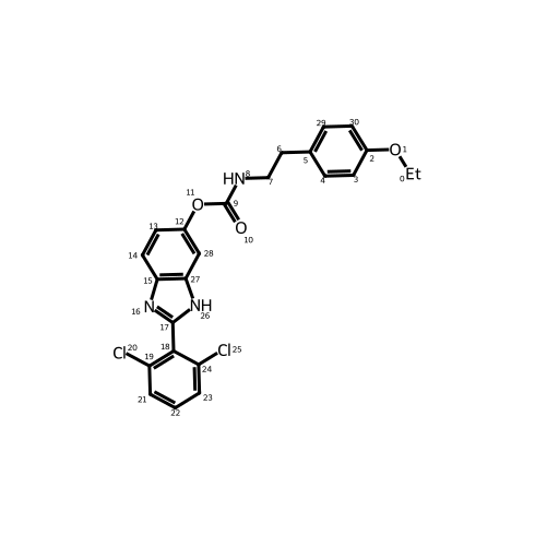 CCOc1ccc(CCNC(=O)Oc2ccc3nc(-c4c(Cl)cccc4Cl)[nH]c3c2)cc1